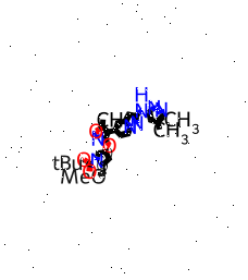 COC[C@@H]1C[C@H](Oc2noc(C)c2-c2ccn3nc(Nc4cc(C)c(C)nn4)cc3c2)CN1C(=O)OC(C)(C)C